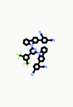 N#Cc1ccc(-c2ccc3c4ccccc4n(-c4cc(-c5cc(C(F)(F)F)cc(C(F)(F)F)c5)cc(-n5c6ccccc6c6ccc(-c7ccc(C#N)cc7C#N)cc65)n4)c3c2)c(C#N)c1